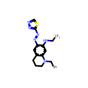 CC(C)CN1CCCc2cc(N=Nc3nncs3)c(NCC(F)(F)F)cc21